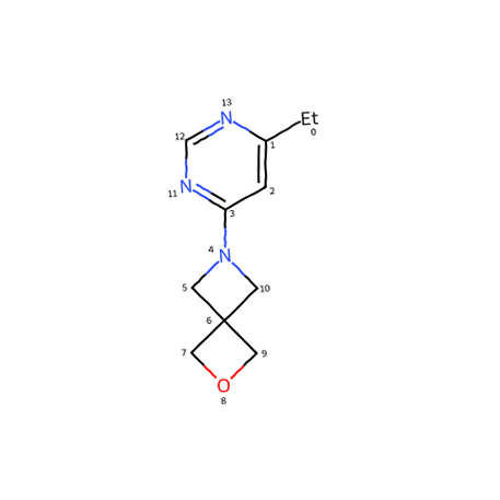 CCc1cc(N2CC3(COC3)C2)ncn1